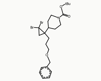 CC(C)(C)OC(=O)N1CCC(C2(CCCOCc3ccccc3)CC2(Br)Br)CC1